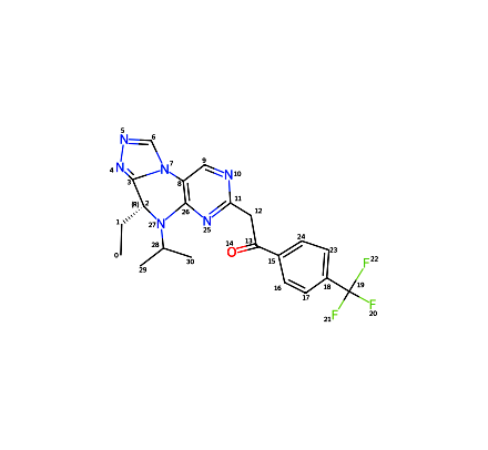 CC[C@@H]1c2nncn2-c2cnc(CC(=O)c3ccc(C(F)(F)F)cc3)nc2N1C(C)C